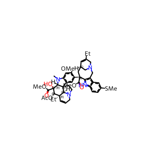 CCC1=C[C@H]2CN(C1)Cc1c([nH]c3ccc(SC)cc13)[C@@](C(=O)OC)(c1cc3c(cc1OC)N(C)[C@H]1[C@@](O)(C(=O)OC)[C@H](OC(C)=O)[C@]4(CC)C=CCN5CC[C@]31[C@@H]54)C2